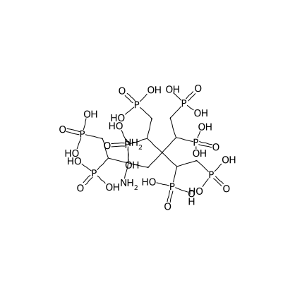 NC(N)(CC(C(CP(=O)(O)O)P(=O)(O)O)(C(CP(=O)(O)O)P(=O)(O)O)C(CP(=O)(O)O)P(=O)(O)O)C(CP(=O)(O)O)P(=O)(O)O